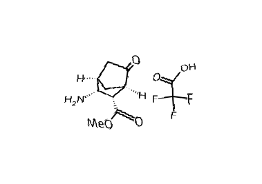 COC(=O)[C@@H]1[C@H](N)[C@H]2CC(=O)[C@@H]1C2.O=C(O)C(F)(F)F